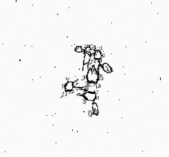 COc1ccc([C@H](c2ccccc2)C2CCN(C(=O)c3ccc4c(c3)NC(=O)CO4)CC2)cc1